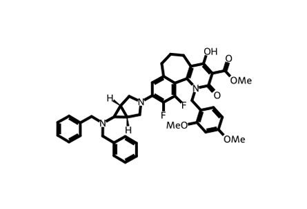 COC(=O)c1c(O)c2c(n(Cc3ccc(OC)cc3OC)c1=O)-c1c(cc(N3C[C@@H]4C(N(Cc5ccccc5)Cc5ccccc5)[C@@H]4C3)c(F)c1F)CCC2